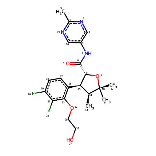 Cc1ncc(NC(=O)[C@@H]2O[C@@](C)(C(F)(F)F)[C@@H](C)[C@H]2c2ccc(F)c(F)c2OCCO)cn1